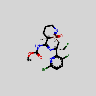 CC(C)(C)OC(=O)NC1=N[C@](CF)(c2nc(Br)ccc2F)C[S@@]2(=O)=NCCC[C@]12C